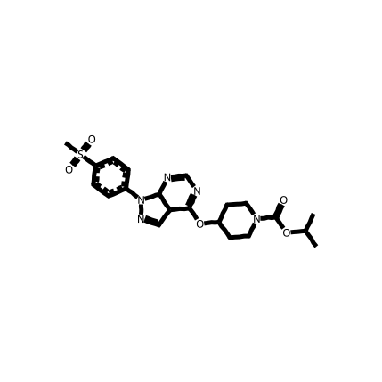 CC(C)OC(=O)N1CCC(OC2=NC=NC3C2C=NN3c2ccc(S(C)(=O)=O)cc2)CC1